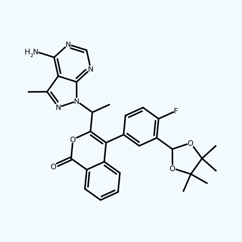 Cc1nn(C(C)c2oc(=O)c3ccccc3c2-c2ccc(F)c(C3OC(C)(C)C(C)(C)O3)c2)c2ncnc(N)c12